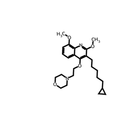 COc1nc2c(OC)cccc2c(OCCN2CCOCC2)c1CCCCCC1CC1